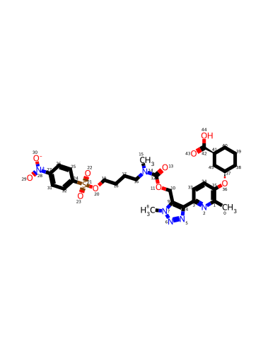 Cc1nc(-c2nnn(C)c2COC(=O)N(C)CCCCOS(=O)(=O)c2ccc([N+](=O)[O-])cc2)ccc1O[C@H]1CCC[C@H](C(=O)O)C1